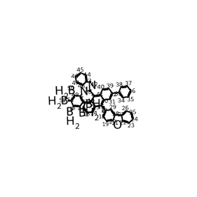 Bc1c(B)c(B)c(-n2c(-c3c4ccccc4c(-c4ccc5oc6ccccc6c5c4)c4cc(-c5ccccc5)ccc34)nc3ccccc32)c(B)c1B